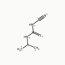 CC(C)NC(=S)NC#N